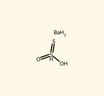 O=[SH](O)=S.[BaH2]